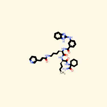 CCCC[C@@H](NC(=O)[C@@H](CCCCNC(=O)/C=C/c1cccnc1)NC(=O)c1cccc(Nc2nc3ccccc3[nH]2)c1)C(=O)NC1(C(N)=O)CCCCC1